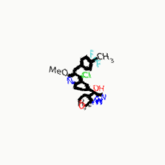 COc1nc2ccc(C(O)(c3cnnn3C)C3CCOCC3)cc2c(Cl)c1Cc1ccc(C(C)(F)F)cc1